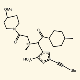 COC1CCN(C(=O)C[C@H](C)N(C(=O)C2CCC(C)CC2)c2cc(C#CC(C)(C)C)sc2C(=O)O)CC1